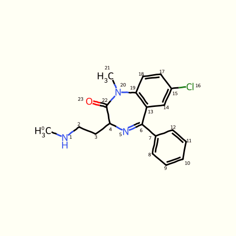 CNCCC1N=C(c2ccccc2)c2cc(Cl)ccc2N(C)C1=O